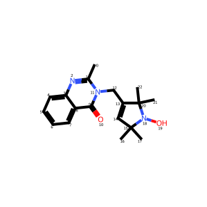 Cc1nc2ccccc2c(=O)n1CC1=CC(C)(C)N(O)C1(C)C